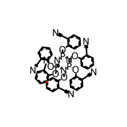 N#Cc1ccccc1ON1P(Oc2ccccc2C#N)N=P(Oc2ccccc2C#N)(Oc2ccccc2C#N)N(Oc2ccccc2C#N)P1Oc1ccccc1C#N